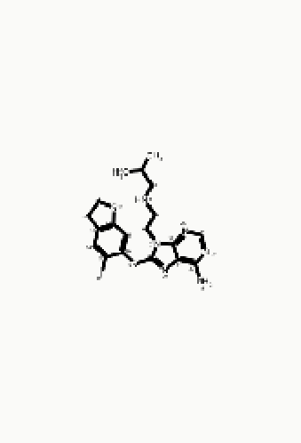 CC(C)CNCCn1c(Sc2cc3c(cc2I)CCS3)nc2c(N)ncnc21